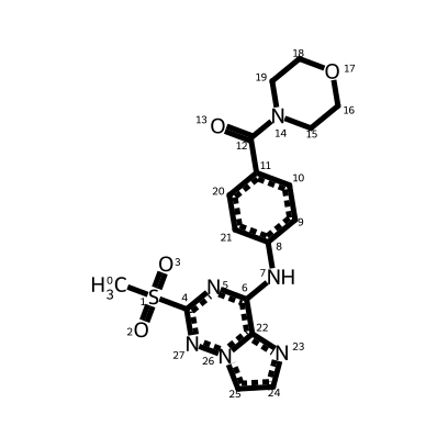 CS(=O)(=O)c1nc(Nc2ccc(C(=O)N3CCOCC3)cc2)c2nccn2n1